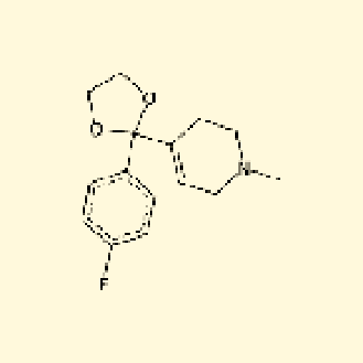 CN1CC=C(C2(c3ccc(F)cc3)OCCO2)CC1